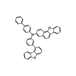 c1ccc(-c2ccc(N(c3cccc(-c4cccc5oc6ccccc6c45)c3)c3ccc4c(ccc5c6ccccc6oc45)c3)cc2)cc1